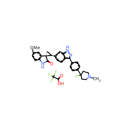 COc1ccc2c(c1)[C@]1(C[C@H]1c1ccc3c(-c4ccc(C5(F)CCN(C)CC5)cc4)n[nH]c3c1)C(=O)N2.O=C(O)C(F)(F)F